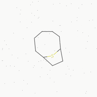 C1CCC2CCC(CC1)S2